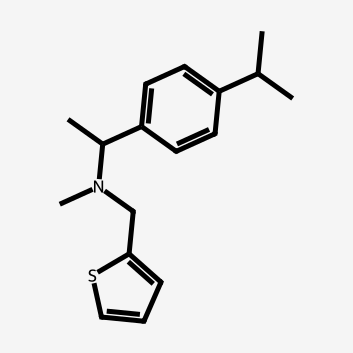 CC(C)c1ccc(C(C)N(C)Cc2cccs2)cc1